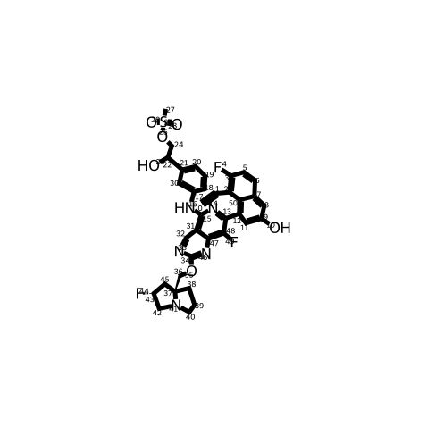 C#Cc1c(F)ccc2cc(O)cc(-c3nc(Nc4cccc(C(O)COS(C)(=O)=O)c4)c4cnc(OC[C@@]56CCCN5C[C@H](F)C6)nc4c3F)c12